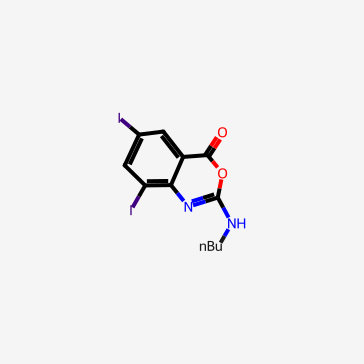 CCCCNc1nc2c(I)cc(I)cc2c(=O)o1